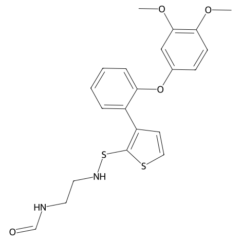 COc1ccc(Oc2ccccc2-c2ccsc2SNCCNC=O)cc1OC